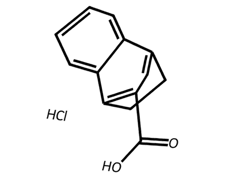 Cl.O=C(O)c1cc2c3ccccc3c1CC2